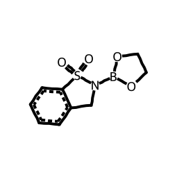 O=S1(=O)c2ccccc2CN1B1OCCO1